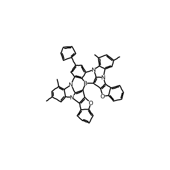 Cc1cc(C)c2c(c1)n1c3c(oc4ccccc43)c3c1n2-c1cc(-c2ccccc2)cc2c1B3c1c3oc4ccccc4c3n3c4cc(C)cc(C)c4n-2c13